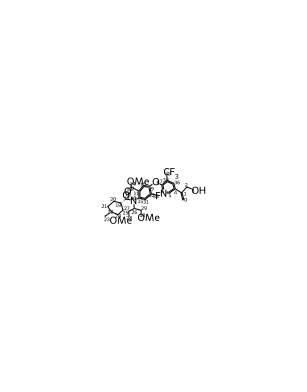 C=C(CO)c1cnc(Oc2cc(C(=O)OC)c(N(C(=O)[C@H]3CC[C@H](C)CC3)C(COC)COC)cc2F)c(C(F)(F)F)c1